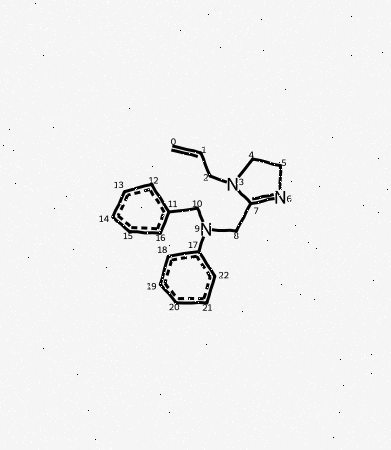 C=CCN1CCN=C1CN(Cc1ccccc1)c1ccccc1